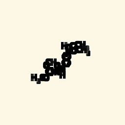 COc1cc(NC(=O)Nc2ccc3c(c2)C=CN(C(=O)OC(C)(C)C)C3)cc(OC)c1